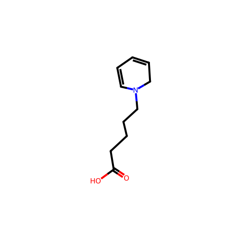 O=C(O)CCCCN1C=CC=CC1